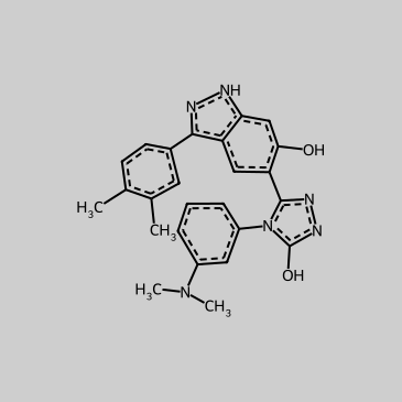 Cc1ccc(-c2n[nH]c3cc(O)c(-c4nnc(O)n4-c4cccc(N(C)C)c4)cc23)cc1C